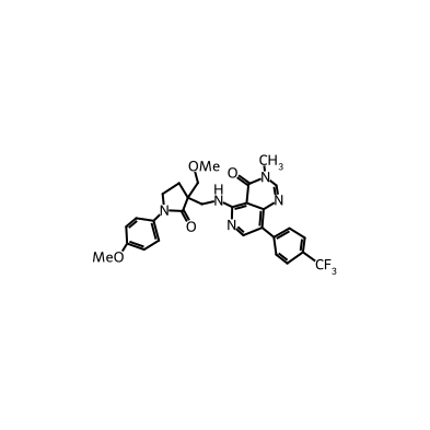 COCC1(CNc2ncc(-c3ccc(C(F)(F)F)cc3)c3ncn(C)c(=O)c23)CCN(c2ccc(OC)cc2)C1=O